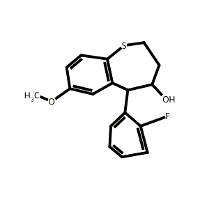 COc1ccc2c(c1)C(c1ccccc1F)C(O)CCS2